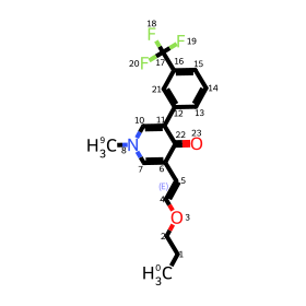 CCCO/C=C/c1cn(C)cc(-c2cccc(C(F)(F)F)c2)c1=O